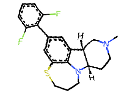 CN1CC[C@H]2[C@@H](C1)c1cc(-c3c(F)cccc3F)cc3c1N2CCCS3